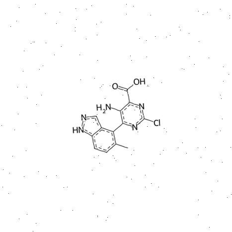 Cc1ccc2[nH]ncc2c1-c1nc(Cl)nc(C(=O)O)c1N